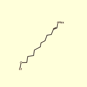 CCCCCCC=CCCCCCCCCCOCC